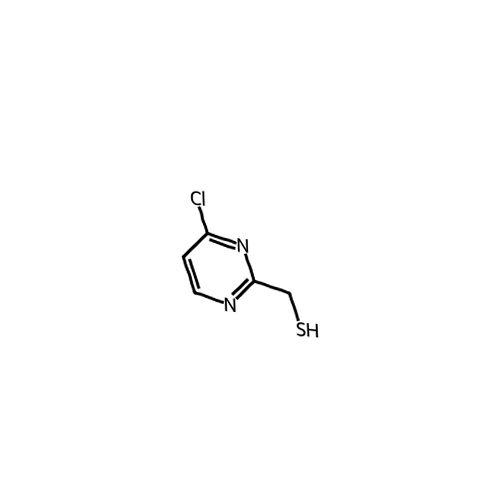 SCc1nccc(Cl)n1